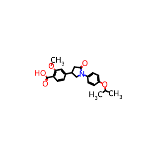 COc1cc(C2CC(=O)N(c3ccc(OC(C)C)cc3)C2)ccc1C(=O)O